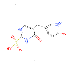 O=C1NC(S(=O)(=O)O)NC=C1Cc1ccc(=O)[nH]c1